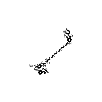 CNC(=O)c1nnc(NC(=O)CNC(=O)CCOCCOCCOCCOCCOCCNc2ccc3c(c2)C(=O)N(C2CCC(=O)NC2=O)C3=O)cc1Nc1cccc(-c2ncn(C)n2)c1OC